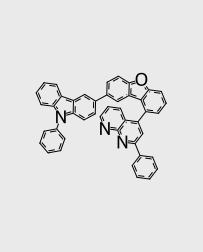 c1ccc(-c2cc(-c3cccc4oc5ccc(-c6ccc7c(c6)c6ccccc6n7-c6ccccc6)cc5c34)c3cccnc3n2)cc1